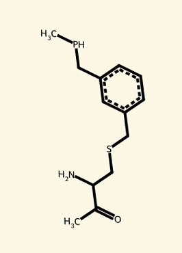 CPCc1cccc(CSCC(N)C(C)=O)c1